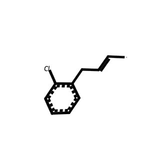 [CH2]/C=C/Cc1ccccc1Cl